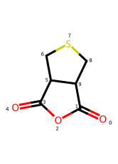 O=C1OC(=O)C2CSCC12